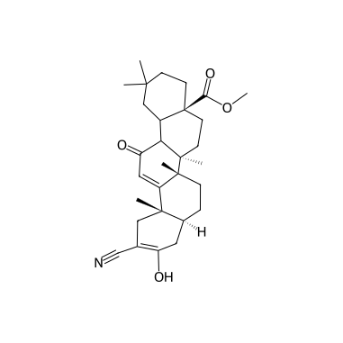 COC(=O)[C@]12CCC(C)(C)CC1C1C(=O)C=C3[C@@]4(C)CC(C#N)=C(O)C[C@@H]4CC[C@@]3(C)[C@]1(C)CC2